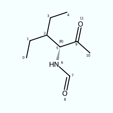 CCC(CC)[C@@H](NC=O)C(C)=O